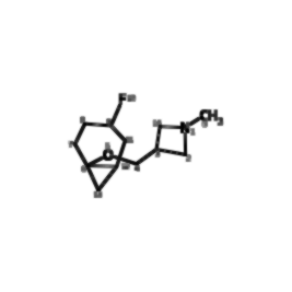 CN1CC(COC23CCC(F)CC2C3)C1